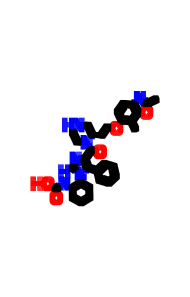 Cc1nc2ccc(OCC[C@@H]3CNCCN3C(=O)c3ncn([C@H]4CCCC[C@@H]4NC(=O)O)c3-c3ccccc3)c(C)c2o1